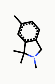 Cc1ccc2c(c1)C(C)(C)N(C)C2